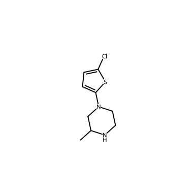 CC1CN(c2ccc(Cl)s2)CCN1